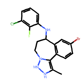 CC1=C2c3ccc(Br)cc3C(Nc3cccc(Cl)c3F)CCN2NN1